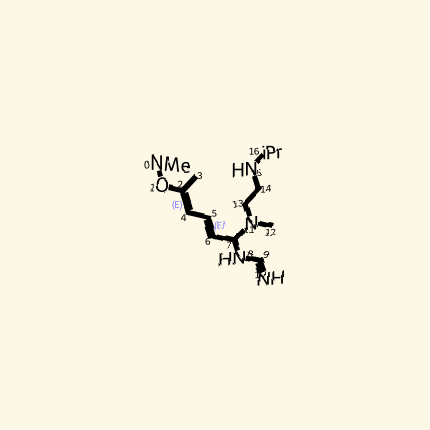 CNO/C(C)=C/C=C/C(NC=N)N(C)CCNC(C)C